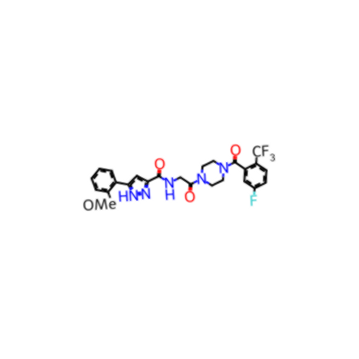 COc1ccccc1-c1cc(C(=O)NCC(=O)N2CCN(C(=O)c3cc(F)ccc3C(F)(F)F)CC2)n[nH]1